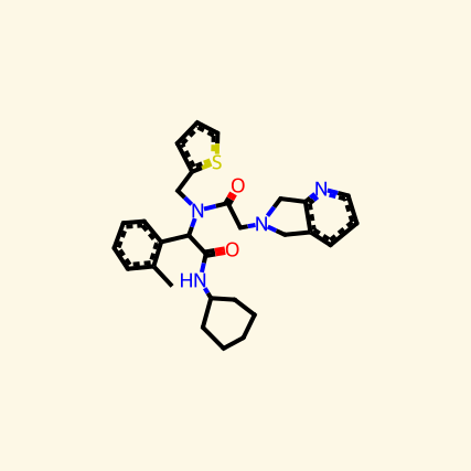 Cc1ccccc1C(C(=O)NC1CCCCC1)N(Cc1cccs1)C(=O)CN1Cc2cccnc2C1